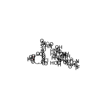 COc1cc2cc(c1Cl)N(C)C(=O)C[C@@H](OC(=O)C(C)N(C)C(=O)CCSC1CC(=O)N(CC3CCC(C(=O)NCCCC[C@@H](NC(=O)[C@@H](CC(=O)O)NC(=O)[C@@H](CCCNC(=N)N)NC(=O)[C@@H](CC(=O)O)NC(=O)CCC(=O)Nc4cccc5c(C(=O)NCC(=O)N6CC(F)(F)C[C@H]6C#N)ccnc45)C(=O)O)CC3)C1=O)[C@]1(C)OC1[C@H](C)[C@@H]1C[C@@](O)(NC(=O)O1)[C@H](OC)/C=C\C=C(/C)C2